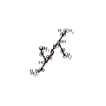 CCC(CC)COC(=O)CCCCC(O)CN(CCCC(=O)OCCN1CCN(CCSSCCCN(CC(O)CCCCC(=O)OCCC(C)C)CC(O)CCCCC(=O)OCCC(C)C)CC1)CC(O)CCCCC(=O)OCC(CC)CC